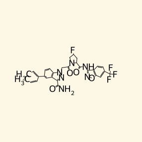 C/C=C\C(=C/C)c1ccc2c(c1)c(C(N)=O)nn2CC(=O)N1CC(F)CC1C(=O)Nc1noc2cc(C(F)(F)F)ccc12